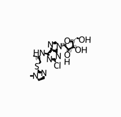 C[C@H](CSc1nccn1C)Nc1nc(Cl)nc2c1ncn2[C@@H]1O[C@H](CO)[C@@H](O)[C@H]1O